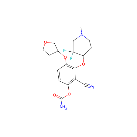 CN1CCC(Oc2c(OC3CCOC3)ccc(OC(N)=O)c2C#N)C(F)(F)C1